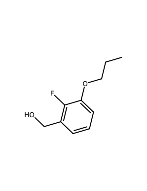 CCCOc1cccc(CO)c1F